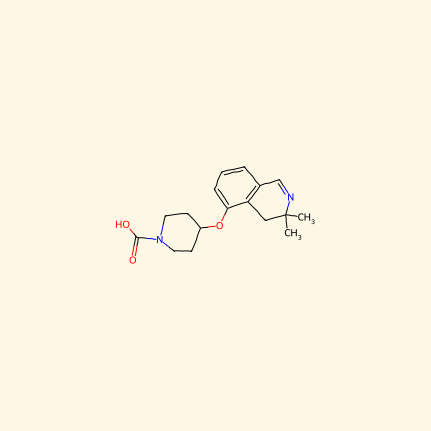 CC1(C)Cc2c(cccc2OC2CCN(C(=O)O)CC2)C=N1